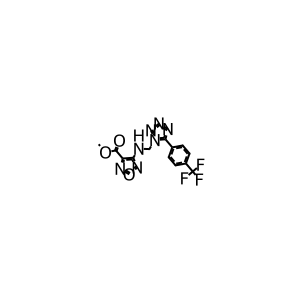 COC(=O)c1nonc1NCn1nnnc1-c1ccc(C(F)(F)F)cc1